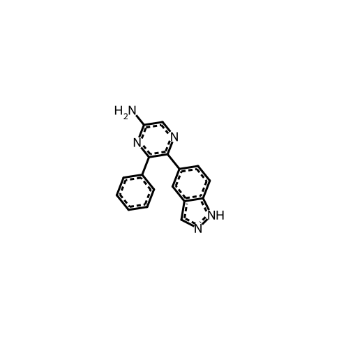 Nc1cnc(-c2ccc3[nH]ncc3c2)c(-c2ccccc2)n1